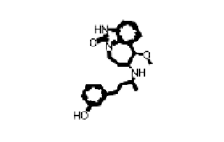 CO[C@@H]1c2cccc3[nH]c(=O)n(c23)CC[C@H]1NC(C)CCc1cccc(O)c1